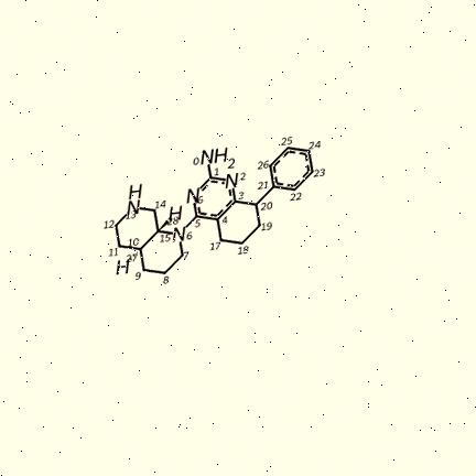 Nc1nc2c(c(N3CCC[C@H]4CCNC[C@@H]43)n1)CCCC2c1ccccc1